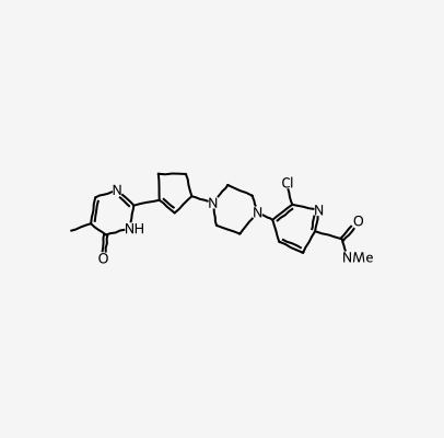 CNC(=O)c1ccc(N2CCN(C3C=C(c4ncc(C)c(=O)[nH]4)CC3)CC2)c(Cl)n1